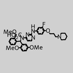 COCc1ccccc1C(c1cc(OC)ccc1OC)N(C(=O)O)c1ccnc(Nc2ccc(OCCCN3CCCCC3)c(F)c2)n1